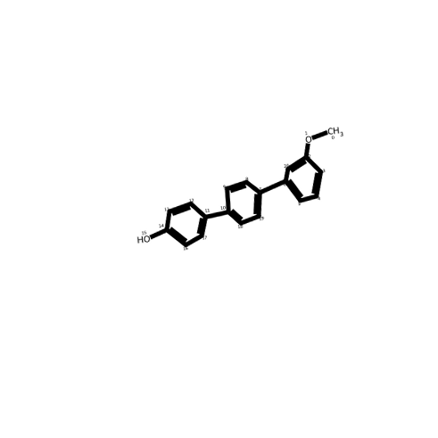 COc1cccc(-c2ccc(-c3ccc(O)cc3)cc2)c1